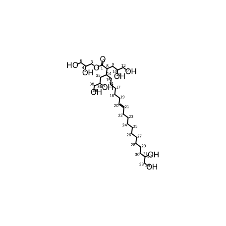 O=C(OCC(O)CO)C(CC(O)CO)C(CCCCCC=CCCCCCCCCCC(O)CO)CC(O)CO